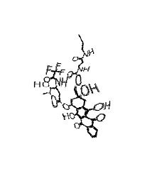 CCCNC(=O)CCNC(=O)OC[C@]1(O)Cc2c(O)c3c(c(O)c2[C@@H](O[C@@H]2C[C@H](NC(=O)C(F)(F)F)[C@@H](O)[C@H](C)O2)C1)C(=O)c1ccccc1C3=O